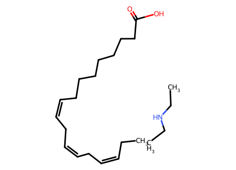 CC/C=C\C/C=C\C/C=C\CCCCCCCC(=O)O.CCNCC